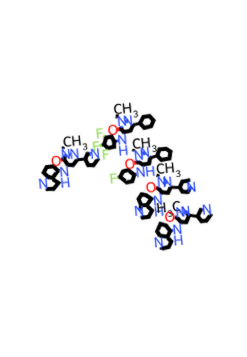 CCn1nc(-c2ccccc2)cc(Nc2cc(F)c(F)c(F)c2)c1=O.CCn1nc(-c2ccccc2)cc(Nc2ccc(F)cc2)c1=O.CCn1nc(-c2cccnc2)cc(Nc2cccc3ncccc23)c1=O.CCn1nc(-c2ccncc2)cc(Nc2cccc3ncccc23)c1=O.Cn1nc(-c2cccnc2)cc(Nc2cccc3ncccc23)c1=O